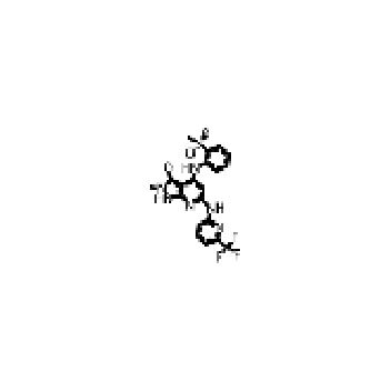 Cn1[nH]c2nc(Nc3cccc(C(F)(F)F)n3)cc(Nc3ccccc3S(C)(=O)=O)c2c1=O